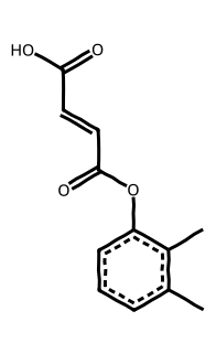 Cc1cccc(OC(=O)/C=C/C(=O)O)c1C